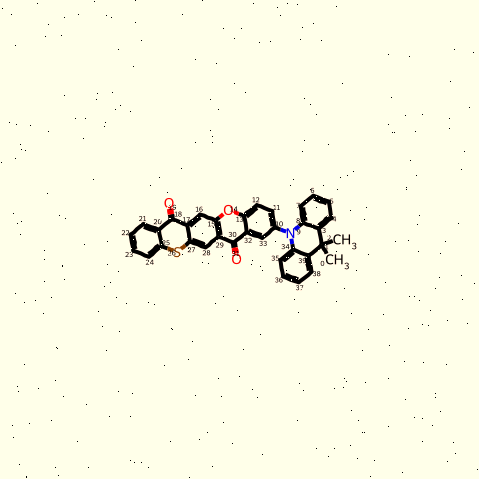 CC1(C)c2ccccc2N(c2ccc3oc4cc5c(=O)c6ccccc6sc5cc4c(=O)c3c2)c2ccccc21